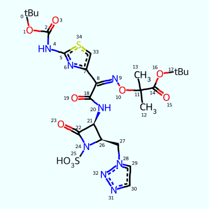 CC(C)(C)OC(=O)Nc1nc(/C(=N/OC(C)(C)C(=O)OC(C)(C)C)C(=O)N[C@@H]2C(=O)N(S(=O)(=O)O)[C@@H]2Cn2ccnn2)cs1